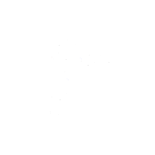 O=C(NCCC12CCC(CC1)CC2)c1cn(CC2(O)COC2)c2cccc(Br)c12